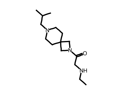 CCNCC(=O)N1CC2(CCN(CC(C)C)CC2)C1